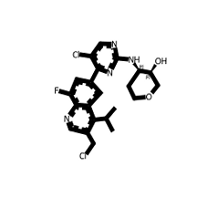 CC(C)c1c(CCl)cnc2c(F)cc(-c3nc(N[C@@H]4CCOC[C@@H]4O)ncc3Cl)cc12